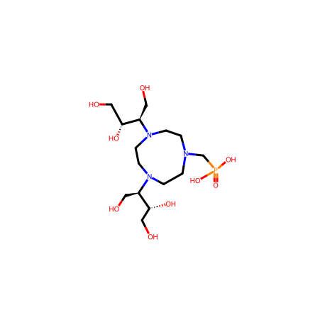 O=P(O)(O)CN1CCN([C@H](CO)[C@H](O)CO)CCN([C@H](CO)[C@H](O)CO)CC1